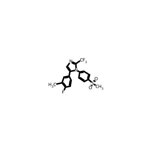 Cc1cc(-c2cnc(C(F)(F)F)n2-c2ccc(S(C)(=O)=O)cc2)ccc1F